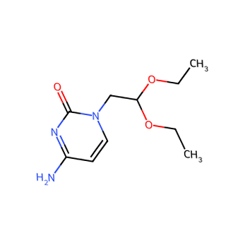 CCOC(Cn1ccc(N)nc1=O)OCC